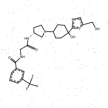 O=C(CNC(=O)c1cccc(C(F)(F)F)c1)N[C@@H]1CCN(C2CCC(O)(c3ncc(CO)s3)CC2)C1